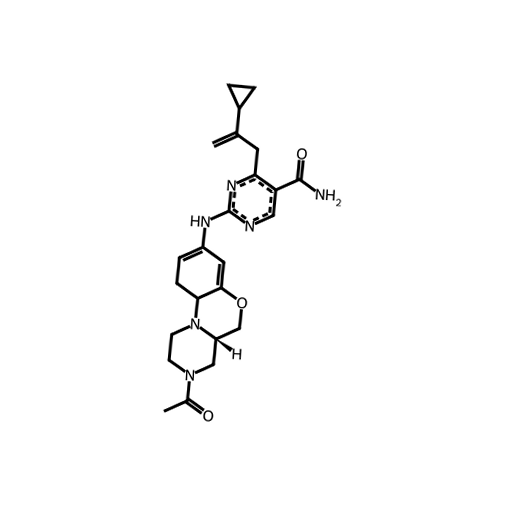 C=C(Cc1nc(NC2=CCC3C(=C2)OC[C@@H]2CN(C(C)=O)CCN32)ncc1C(N)=O)C1CC1